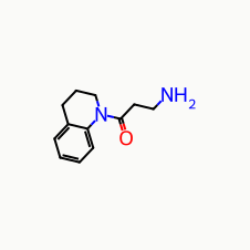 NCCC(=O)N1CCCc2ccccc21